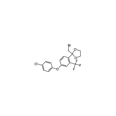 FC(F)(F)c1cc(Oc2ccc(Cl)cc2)ccc1C1(CBr)OCCO1